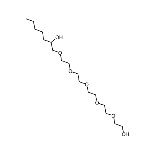 CCCCCC(O)COCCOCCOCCOCCOCCO